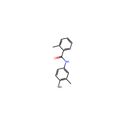 Cc1ccccc1C(=O)Nc1ccc(C(C)(C)C)c(C)c1